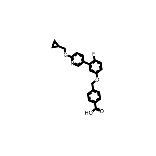 O=C(O)c1ccc(COc2ccc(F)c(-c3ccc(OCC4CC4)nc3)c2)cc1